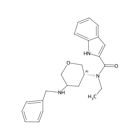 CCN(C(=O)c1cc2ccccc2[nH]1)[C@H]1COCC(NCc2ccccc2)C1